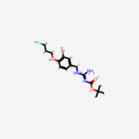 CC(C)(C)OC(=O)/N=C(\N)NCc1ccc(OCCCF)c(Br)c1